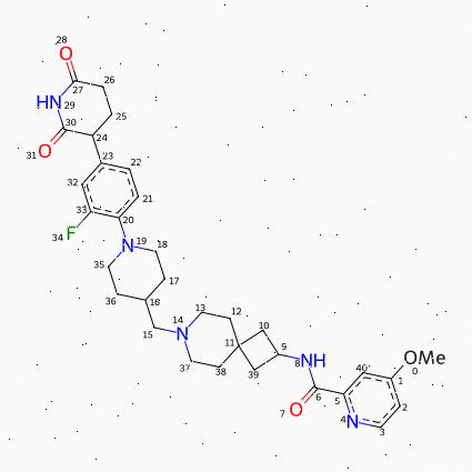 COc1ccnc(C(=O)NC2CC3(CCN(CC4CCN(c5ccc(C6CCC(=O)NC6=O)cc5F)CC4)CC3)C2)c1